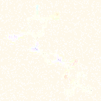 CC(C)(C)OC(=O)N1CC(Nc2cc(Br)c(F)cc2N)C1